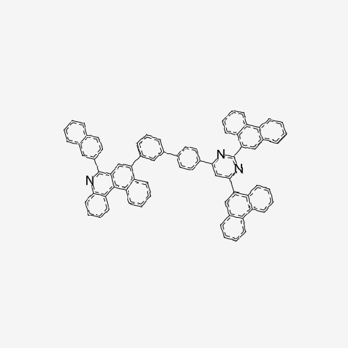 c1cc(-c2ccc(-c3cc(-c4cc5ccccc5c5ccccc45)nc(-c4cc5ccccc5c5ccccc45)n3)cc2)cc(-c2cc3c(-c4ccc5ccccc5c4)nc4ccccc4c3c3ccccc23)c1